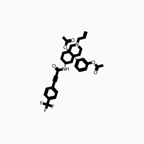 C=CCN1CC[C@@]2(c3cccc(OC(C)=O)c3)C[C@H](NC(=O)C#Cc3ccc(C(F)(F)F)cc3)CC[C@]2(OC(C)=O)C1